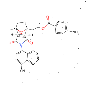 CC12CCC(CCOC(=O)c3ccc([N+](=O)[O-])cc3)(O1)[C@H]1C(=O)N(c3ccc(C#N)c4ccccc34)C(=O)[C@H]12